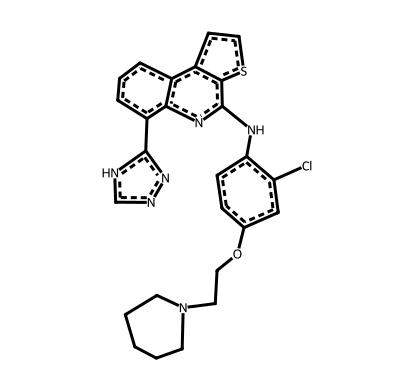 Clc1cc(OCCN2CCCCC2)ccc1Nc1nc2c(-c3nnc[nH]3)cccc2c2ccsc12